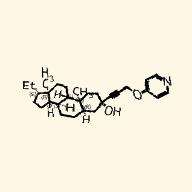 CC[C@H]1CC[C@H]2[C@@H]3CC[C@@H]4C[C@@](O)(C#CCOc5ccncc5)CC[C@]4(C)[C@H]3CC[C@]12C